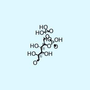 O=C[C@@H](O)[C@H](O)[C@H](O)[C@@H](COP(=O)(O)O)OP(=O)(O)O